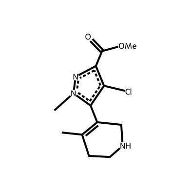 COC(=O)c1nn(C)c(C2=C(C)CCNC2)c1Cl